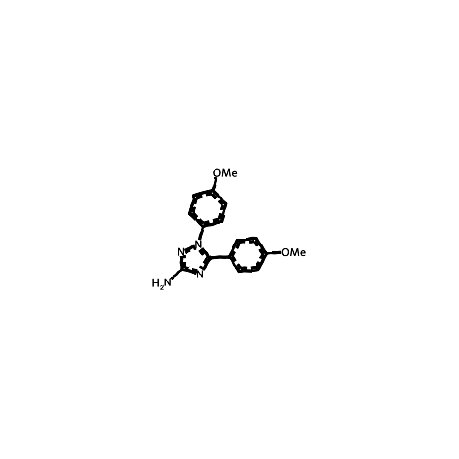 COc1ccc(-c2nc(N)nn2-c2ccc(OC)cc2)cc1